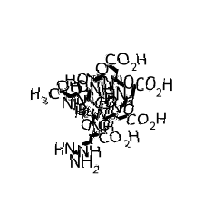 CC[C@H](C)[C@H](NC(=O)[C@H](CCC(=O)O)NC(=O)[C@H](CCC(=O)O)NC(=O)[C@H](CCC(=O)O)NC(=O)[C@H](CO)NC(=O)[C@H](CC(=O)O)NC(=O)[C@@H](N)[C@@H](C)O)C(=O)N[C@@H](CCCNC(=N)N)C(=O)O